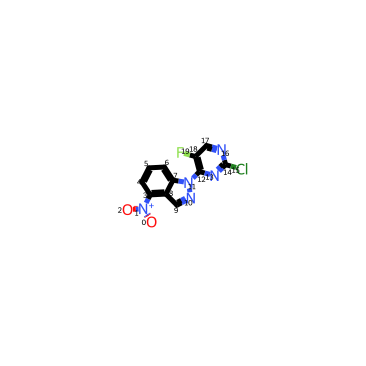 O=[N+]([O-])c1cccc2c1cnn2-c1nc(Cl)ncc1F